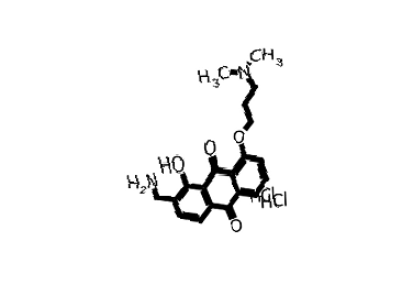 CN(C)CCCOc1cccc2c1C(=O)c1c(ccc(CN)c1O)C2=O.Cl.Cl